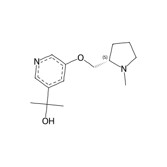 CN1CCC[C@H]1COc1cncc(C(C)(C)O)c1